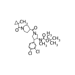 CN(C(=O)OC(C)(C)C)C1CN(C(=O)C2CCN(C(=O)C3(C)CC3)CC2)CC1c1ccc(Cl)c(Cl)c1